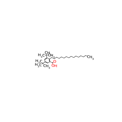 CCCCCCCCCCCCCCCCc1c(C(=O)O)cc(C(C)(C)C)cc1C(C)(C)C